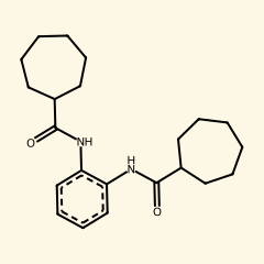 O=C(Nc1ccccc1NC(=O)C1CCCCCC1)C1CCCCCC1